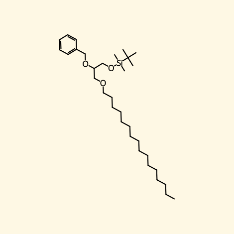 CCCCCCCCCCCCCCCCOCC(CO[Si](C)(C)C(C)(C)C)OCc1ccccc1